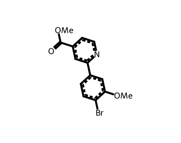 COC(=O)c1ccnc(-c2ccc(Br)c(OC)c2)c1